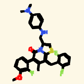 COc1cccc(-c2c(C)c(Cc3c(F)cccc3F)c3n(c2=O)C(CNc2ccc(N(C)C)cc2)CS3)c1F